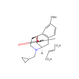 COc1ccc2c(c1)[C@]13CCN(CC4CC4)[C@H](C2)[C@@H]1OC(=O)OC3.O=C(O)/C=C/C(=O)O